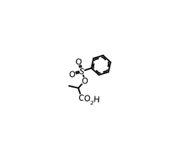 CC(OS(=O)(=O)c1ccccc1)C(=O)O